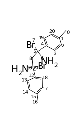 Cc1ccc(C(N)(Br)CC(N)(Br)c2ccc(C)cc2)cc1